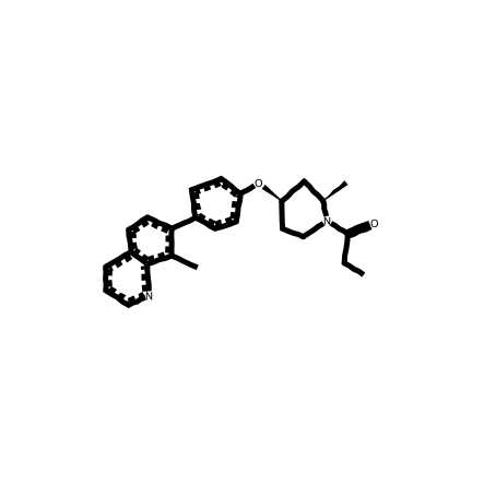 CCC(=O)N1CC[C@@H](Oc2ccc(-c3ccc4cccnc4c3C)cc2)C[C@H]1C